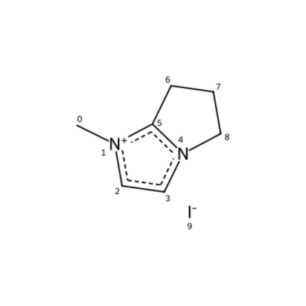 C[n+]1ccn2c1CCC2.[I-]